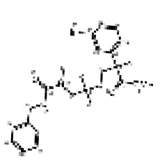 COC(=O)C(C)(CCC(C)(C)CN(C)C(=O)OCc1ccccc1)c1cccc(Br)c1